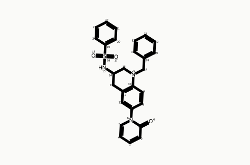 O=c1ccccn1-c1ccc2c(c1)CC(NS(=O)(=O)c1ccccc1)CN2Cc1ccccc1